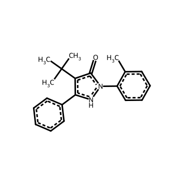 Cc1ccccc1-n1[nH]c(-c2ccccc2)c(C(C)(C)C)c1=O